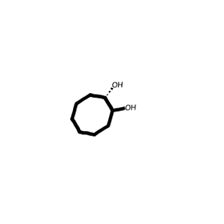 OC1CCCCCC[C@@H]1O